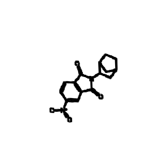 O=C1c2ccc([N+](=O)[O-])cc2C(=O)N1C1CC2CCC1C2